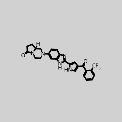 O=C(c1c[nH]c(-c2nc3ccc(N4CCN5C(=O)CC[C@@H]5C4)cc3[nH]2)c1)c1ccccc1C(F)(F)F